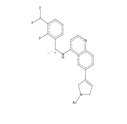 CC(=O)N1CC=C(c2ccc3nccc(N[C@H](C)c4cccc(C(F)F)c4F)c3c2)C1